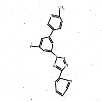 Cc1ccc(-c2cc(F)cc(-n3nnc(-c4ccccn4)n3)c2)cn1